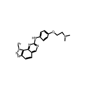 CC(C)n1nnc2ccc3cnc(Nc4ccc(OCCN(C)C)cc4)nc3c21